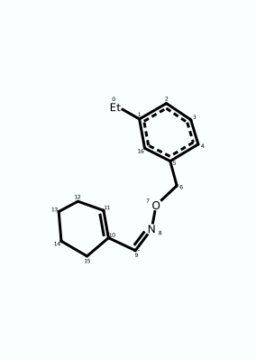 CCc1cccc(CO/N=[C]\C2=CCCCC2)c1